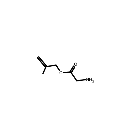 C=C(C)COC(=O)CN